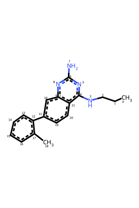 CCCNc1nc(N)nc2cc(-c3ccccc3C)ccc12